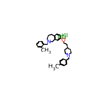 Cc1ccc(CN2CCC(CCOc3ccc4c(c3)CN(Cc3ccccc3C)CCC4)CC2)cc1.Cl.Cl